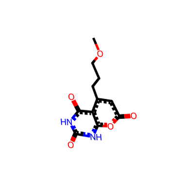 COCCCc1cc(=O)oc2[nH]c(=O)[nH]c(=O)c12